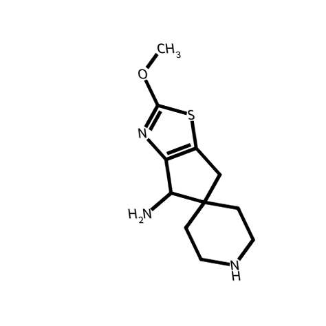 COc1nc2c(s1)CC1(CCNCC1)C2N